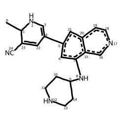 CC1NC=C(c2cc(NC3CCNCC3)c3cnccc3c2)C=C1C#N